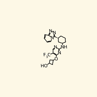 OC1CC(Oc2nc(N[C@@H]3CCC[C@H](c4nnc5ccccn45)C3)ncc2C(F)(F)F)C1